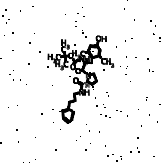 Cc1cc(O)cc(C)c1C[C@H](NC(=O)OC(C)(C)C)C(=O)N1CCC[C@@H]1C(=O)NCCCc1ccccc1